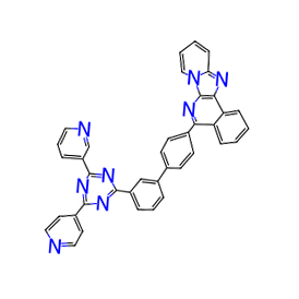 c1cncc(-c2nc(-c3ccncc3)nc(-c3cccc(-c4ccc(-c5nc6c(nc7ccccn76)c6ccccc56)cc4)c3)n2)c1